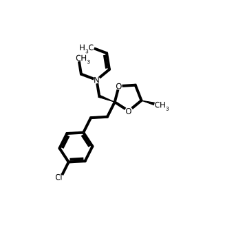 C/C=C\N(CC)C[C@@]1(CCc2ccc(Cl)cc2)OC[C@@H](C)O1